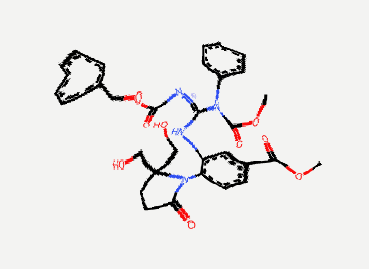 COC(=O)c1ccc(N2C(=O)CCC2(CO)CO)c(N/C(=N\C(=O)OCc2ccccc2)N(C(=O)OC)c2ccccc2)c1